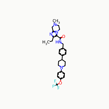 CCc1nc2n(c1C(=O)NCc1ccc(C3CCN(c4ccc(OC(F)(F)F)cc4)CC3)cc1)CCN(C)C2